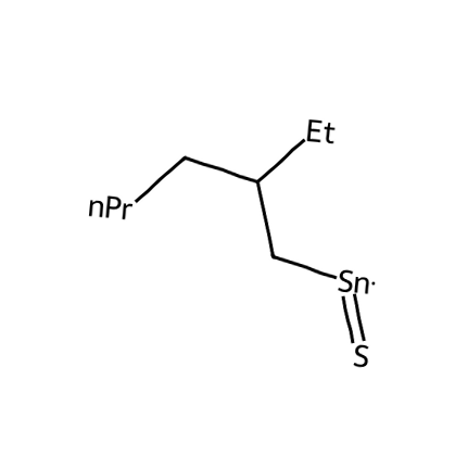 CCCCC(CC)[CH2][Sn]=[S]